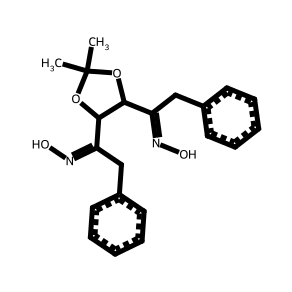 CC1(C)OC(C(Cc2ccccc2)=NO)C(C(Cc2ccccc2)=NO)O1